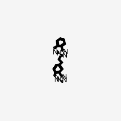 c1ccc2c(c1)cnn1c(CCc3ccc4cnn5cnnc5c4c3)nnc21